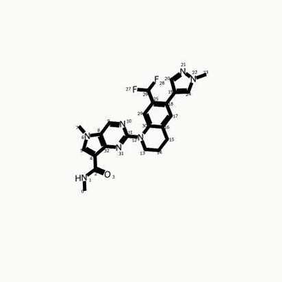 CNC(=O)c1cn(C)c2cnc(N3CCCc4cc(-c5cnn(C)c5)c(C(F)F)cc43)nc12